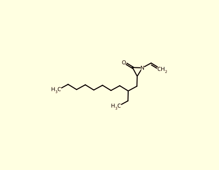 C=CN1C(=O)C1CC(CC)CCCCCCCC